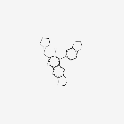 [O-][n+]1c(CN2CCCC2)nc2cc3c(cc2c1-c1ccc2c(c1)OCO2)OCO3